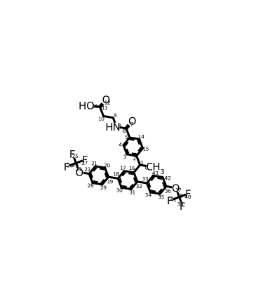 CC(c1ccc(C(=O)NCCC(=O)O)cc1)c1cc(-c2ccc(OC(F)(F)F)cc2)ccc1-c1ccc(OC(F)(F)F)cc1